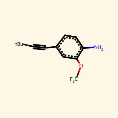 CCCCC#Cc1ccc(N)c(OC(F)(F)F)c1